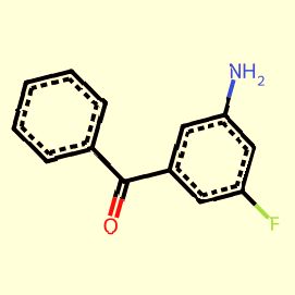 Nc1cc(F)cc(C(=O)c2ccccc2)c1